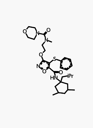 CC(C)CC1(NC(=O)c2onc(OCCN(C)C(=O)N3CCOCC3)c2Sc2ccccc2)CC(C)CC(C)C1